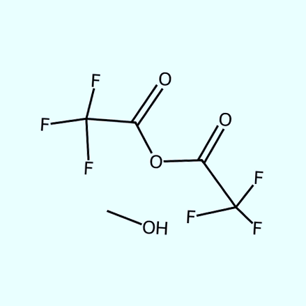 CO.O=C(OC(=O)C(F)(F)F)C(F)(F)F